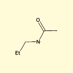 CCC[N]C(C)=O